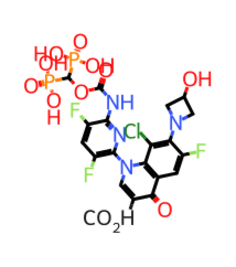 O=C(Nc1nc(-n2cc(C(=O)O)c(=O)c3cc(F)c(N4CC(O)C4)c(Cl)c32)c(F)cc1F)OC(P(=O)(O)O)P(=O)(O)O